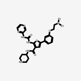 CCN(CC)CCOc1cccc(-c2cc(C(=O)NC3CCNCC3)c(NC(=O)Nc3cnccn3)s2)c1